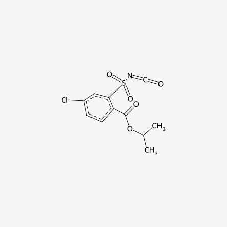 CC(C)OC(=O)c1ccc(Cl)cc1S(=O)(=O)N=C=O